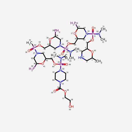 CC1CNCC(COP(=O)(N(C)C)N2CC(P)OC(COP(=O)(N(C)C)N3CC(P)OC(COP(C)(=O)N4CC(P)OC(COP(=O)(N(C)C)N5CCN(C(=O)OCCO)CC5)C4)C3)C2)O1